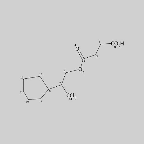 O=C(O)CCC(=O)OCC(C1CCCCC1)C(Cl)(Cl)Cl